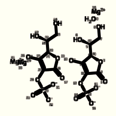 O.O=C1O[C@H]([C@@H](O)CO)C([O-])=C1OP(=O)([O-])[O-].O=C1O[C@H]([C@@H](O)CO)C([O-])=C1OP(=O)([O-])[O-].[Mg+2].[Mg+2].[Mg+2]